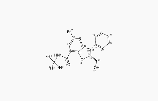 [2H]C([2H])([2H])NC(=O)c1cc(Br)cc2c1O[C@H](CO)[C@H]2c1ccccc1